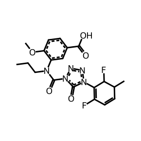 CCCN(C(=O)n1nnn(C2=C(F)C=CC(C)C2F)c1=O)c1cc(C(=O)O)ccc1OC